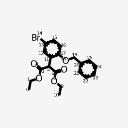 CCOC(=O)C(C(=O)OCC)c1cc(Br)ccc1OCc1ccccc1